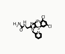 CC(C)c1nc(CNC(N)=O)n(Cc2ccccn2)c1Sc1cc(Cl)cc(Cl)c1